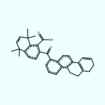 CC1(C)C=CC(C)(C)c2c1ccc(C(=O)c1cccc3c4c(ccc13)C1=C(CCC=C1)CC4)c2C(=O)O